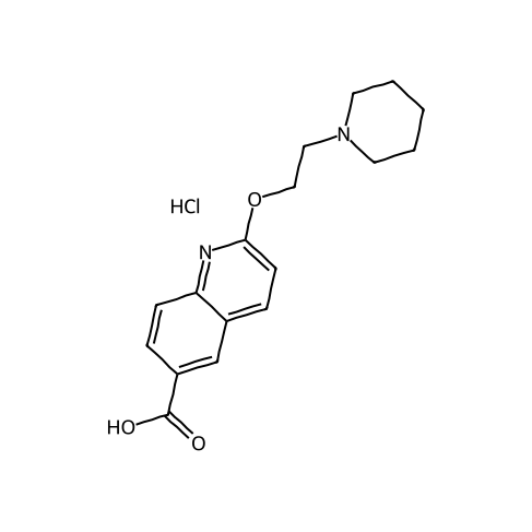 Cl.O=C(O)c1ccc2nc(OCCN3CCCCC3)ccc2c1